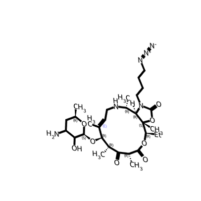 CC[C@H]1OC(=O)[C@H](C)C(=O)[C@H](C)[C@@H](O[C@@H]2O[C@H](C)CC(N)C2O)/C(C)=C/CN[C@H](C)[C@H]2N(CCCCN=[N+]=[N-])C(=O)O[C@]12C